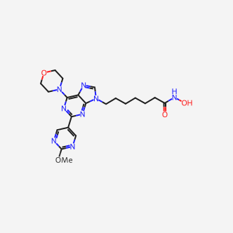 COc1ncc(-c2nc(N3CCOCC3)c3ncn(CCCCCCC(=O)NO)c3n2)cn1